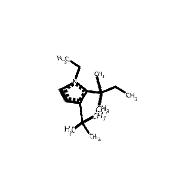 CCn1ccc(C(C)(C)C)c1C(C)(C)CC